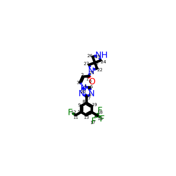 O=C(/C=C\n1cnc(-c2cc(CF)cc(C(F)(F)F)c2)n1)N1CC2(CNC2)C1